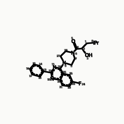 CC(C)C[C@@H](O)C(=O)N1CCN(c2nc(-c3ccccc3)nc3ccc(F)cc23)CC1